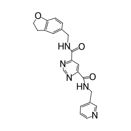 O=C(NCc1cccnc1)c1cc(C(=O)NCc2ccc3c(c2)CCO3)ncn1